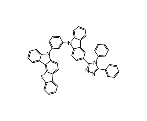 c1ccc(-c2nnc(-c3ccc4c(c3)c3ccccc3n4-c3cccc(-n4c5ccccc5c5c6sc7ccccc7c6ccc54)c3)n2-c2ccccc2)cc1